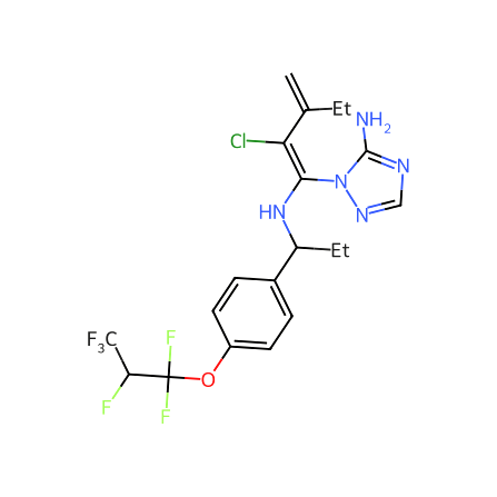 C=C(CC)/C(Cl)=C(/NC(CC)c1ccc(OC(F)(F)C(F)C(F)(F)F)cc1)n1ncnc1N